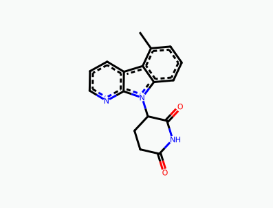 Cc1cccc2c1c1cccnc1n2C1CCC(=O)NC1=O